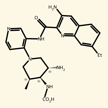 CCc1ccc2cc(N)c(C(=O)Nc3cnccc3N3C[C@H](C)[C@H](NC(=O)O)[C@@H](N)C3)nc2c1